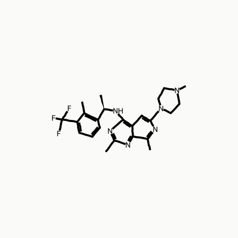 Cc1nc(N[C@H](C)c2cccc(C(F)(F)F)c2C)c2cc(N3CCN(C)CC3)nc(C)c2n1